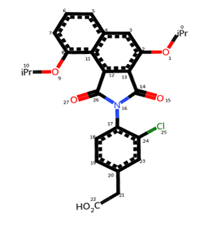 CC(C)Oc1cc2cccc(OC(C)C)c2c2c1C(=O)N(c1ccc(CC(=O)O)cc1Cl)C2=O